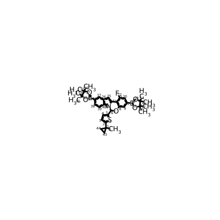 CC1(c2ccc(C3Oc4cc(B5OC(C)(C)C(C)(C)O5)cc(F)c4-c4cc5cc(B6OC(C)(C)C(C)(C)O6)ccc5n43)s2)CC1